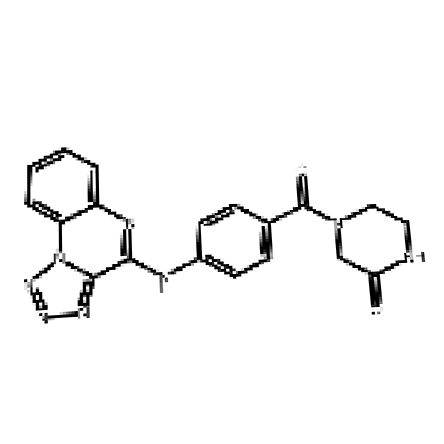 O=C1CN(C(=O)c2ccc(Nc3nc4ccccc4n4nnnc34)cc2)CCN1